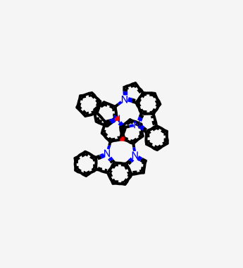 c1ccc(-c2cc(-n3c4ccccc4c4ccc5ccn(-c6ccccc6)c5c43)cc(-n3c4ccccc4c4ccc5ccn(-c6ccccc6)c5c43)n2)cc1